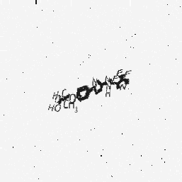 CC(C)(COc1ccc(-c2ccc(-c3ncc(-c4cnccc4C(F)(F)F)[nH]3)cn2)cc1)C(=O)O